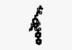 CC(C)OC(=O)CCC[C@H]1CC[C@@H]2[C@@H](/C=C/I)[C@H](OC(=O)c3ccc(-c4ccccc4)cc3)C[C@@H]2OC1